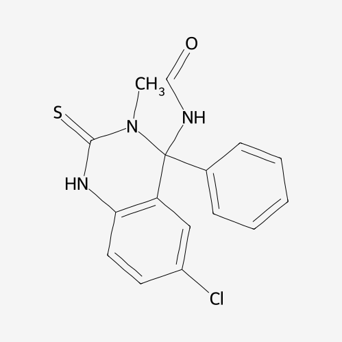 CN1C(=S)Nc2ccc(Cl)cc2C1(NC=O)c1ccccc1